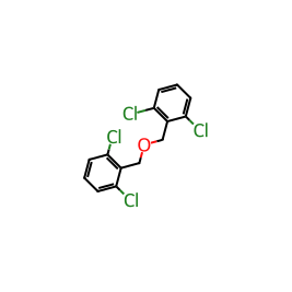 Clc1cccc(Cl)c1COCc1c(Cl)cccc1Cl